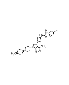 CCc1cc(NC(=O)Nc2ccc(-c3cn([C@H]4CC[C@H](N5CCN(C)CC5)CC4)c4ncnc(N)c34)cc2)on1